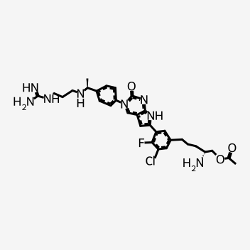 CC(=O)OC[C@H](N)CCCc1cc(Cl)c(F)c(-c2cc3cn(-c4ccc([C@H](C)NCCCNC(=N)N)cc4)c(=O)nc3[nH]2)c1